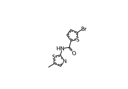 Cc1cnc(NC(=O)c2ccc(Br)s2)s1